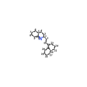 [C](=Cc1ccc2ccccc2n1)c1cccc2ccccc12